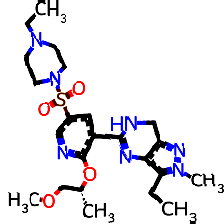 CCc1c2c(nn1C)CNC(c1cc(S(=O)(=O)N3CCN(CC)CC3)cnc1O[C@H](C)COC)=N2